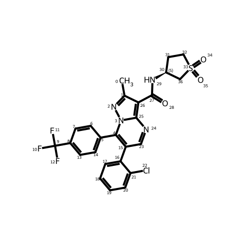 Cc1nn2c(-c3ccc(C(F)(F)F)cc3)c(-c3ccccc3Cl)cnc2c1C(=O)N[C@H]1CCS(=O)(=O)C1